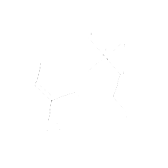 CC=C(C)C(=O)O.C[N+](C)(C)CCO